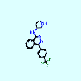 FC(F)(F)c1ccc(-c2nnc(NC3CCNC3)c3ccccc23)cc1